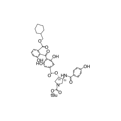 CC(C)(C)OC(=O)N1C[C@H](NC(=O)c2ccc(O)cc2)[C@@H](OC(=O)c2cc(O)c(C(=O)c3c(O)cccc3C(=O)OCC3CCCCC3)c(O)c2)C1